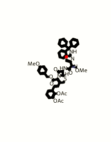 CO/N=C(\C(=O)N[C@@H]1C(=O)N2C(C(=O)OCc3ccc(OC)cc3)=C(C=Cc3cccc(OC(C)=O)c3OC(C)=O)CS[C@H]12)c1csc(NC(c2ccccc2)(c2ccccc2)c2ccccc2)n1